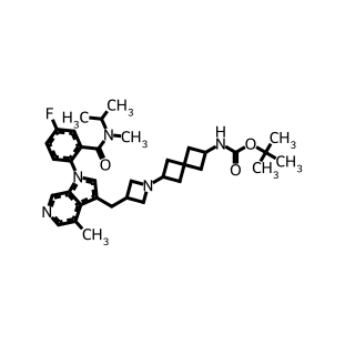 Cc1cncc2c1c(CC1CN(C3CC4(CC(NC(=O)OC(C)(C)C)C4)C3)C1)cn2-c1ccc(F)cc1C(=O)N(C)C(C)C